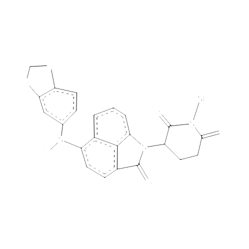 CCN(c1ccc2c(c1)OCO2)c1ccc2c3c(cccc13)N(C1CCC(=O)N(N)C1=O)C2=O